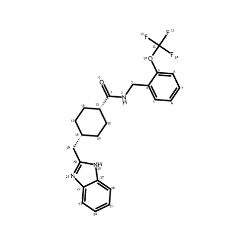 O=C(NCc1ccccc1OC(F)(F)F)[C@H]1CC[C@@H](Cc2nc3ccccc3[nH]2)CC1